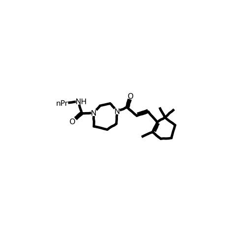 CCCNC(=O)N1CCCN(C(=O)/C=C/C2=C(C)CCCC2(C)C)CC1